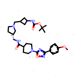 COc1ccc(-c2noc(N3CCC(C(=O)NC[C@@H]4CCN(CC5CC(NC(=O)OC(C)(C)C)C5)C4)CC3)n2)cc1